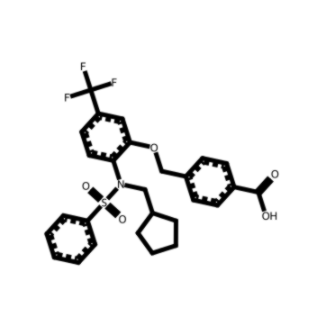 O=C(O)c1ccc(COc2cc(C(F)(F)F)ccc2N(CC2CCCC2)S(=O)(=O)c2ccccc2)cc1